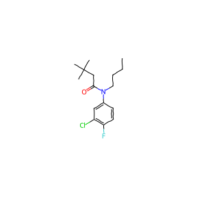 CCCCN(C(=O)CC(C)(C)C)c1ccc(F)c(Cl)c1